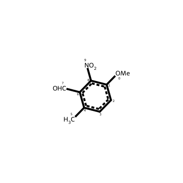 COc1ccc(C)c(C=O)c1[N+](=O)[O-]